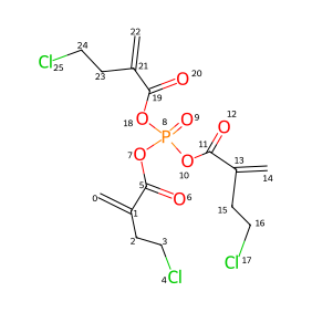 C=C(CCCl)C(=O)OP(=O)(OC(=O)C(=C)CCCl)OC(=O)C(=C)CCCl